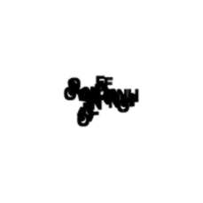 COC(=O)c1cc2c(N3CCOC[C@@H]3C)nc(-c3cnc(NC(=O)C(C)(C)C)cc3C(F)(F)F)nn2c1